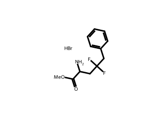 Br.COC(=O)C(N)CC(F)(F)Cc1ccccc1